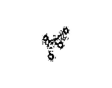 NC(=NC(=O)OCc1ccccc1)[N+]1(CCc2ccccc2)Cc2ccccc2N(NC=O)C(CC(=O)Oc2ccccc2)C1=O